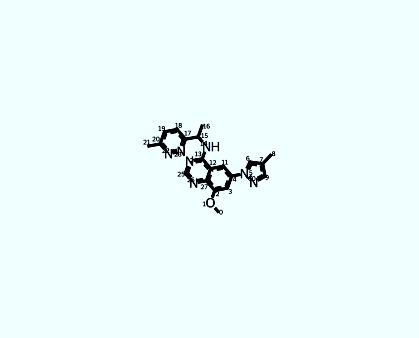 COc1cc(-n2cc(C)cn2)cc2c(NC(C)c3ccc(C)nn3)ncnc12